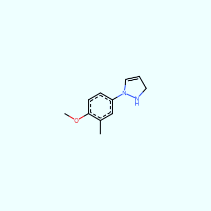 COc1ccc(N2C=CCN2)cc1C